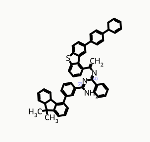 C=C(/N=C(\N=C(/N)c1cccc(-c2cccc3c2C2C=CC=CC2C3(C)C)c1)c1ccccc1)c1cccc2sc3ccc(-c4ccc(C5C=CC=CC5)cc4)cc3c12